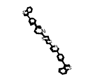 c1ccc2c(-c3ccc(-c4ccc(-c5cc6sc(-c7ccc(-c8ccc(-c9csc%10ccccc9%10)cc8)cn7)cc6s5)nc4)cc3)csc2c1